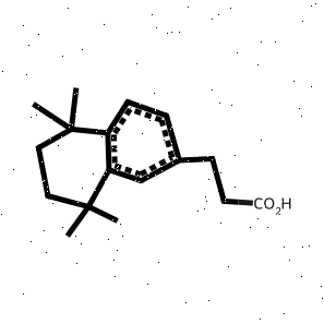 CC1(C)CCC(C)(C)c2cc(CCC(=O)O)ccc21